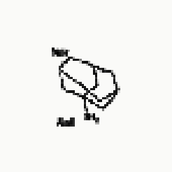 NC12CC3CC(CC(C3)C1)C2.[NaH].[NaH]